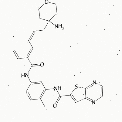 C=C/C(=C\C=C/CC1(N)CCOCC1)C(=O)Nc1ccc(C)c(NC(=O)c2cc3nccnc3s2)c1